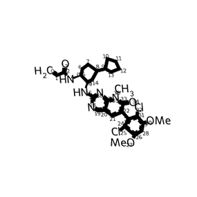 C=CC(=O)N[C@H]1CCC(C2CCCC2)C[C@H]1Nc1ncc2cc(-c3c(Cl)c(OC)cc(OC)c3Cl)c(=O)n(C)c2n1